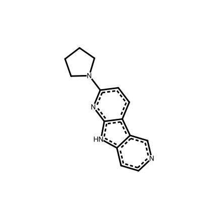 c1cc2[nH]c3nc(N4CCCC4)ccc3c2cn1